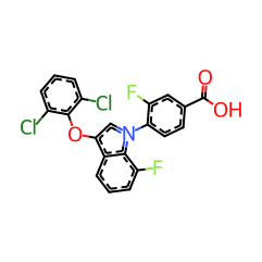 O=C(O)c1ccc(-n2cc(Oc3c(Cl)cccc3Cl)c3cccc(F)c32)c(F)c1